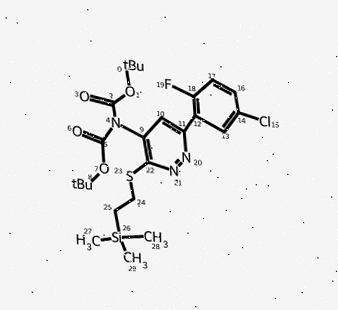 CC(C)(C)OC(=O)N(C(=O)OC(C)(C)C)c1cc(-c2cc(Cl)ccc2F)nnc1SCC[Si](C)(C)C